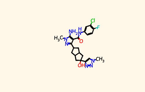 Cn1cc(C2(O)CC3CC(c4nn(C)c(N)c4C(=O)Nc4ccc(F)c(Cl)c4)CC3C2)nn1